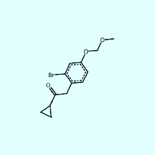 COCOc1ccc(CC(=O)C2CC2)c(Br)c1